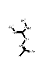 CCC/C(C)=N\OC(=NC(C)C)NC(C)C